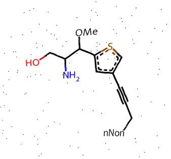 CCCCCCCCCCC#Cc1csc(C(OC)C(N)CO)c1